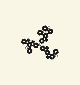 CC1(C)c2cc(N(c3ccc4c(c3)C(C)(C)c3cc(-c5cccc6oc7ccccc7c56)c5oc6ccccc6c5c3-4)c3ccc4c(c3)C(C)(C)c3c5c(c6oc7ccccc7c6c3-4)-c3ccccc3C5(C)C)ccc2-c2cc3c(cc21)-c1c(ccc2oc4ccccc4c12)C3(C)C